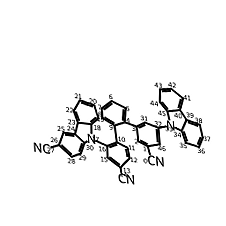 N#Cc1cc(-c2ccccc2-c2ccc(C#N)cc2-n2c3ccccc3c3cc(C#N)ccc32)cc(-n2c3ccccc3c3ccccc32)c1